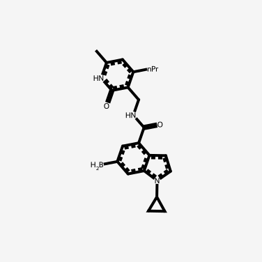 Bc1cc(C(=O)NCc2c(CCC)cc(C)[nH]c2=O)c2ccn(C3CC3)c2c1